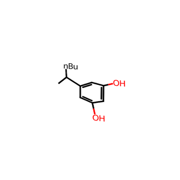 CCCCC(C)c1cc(O)cc(O)c1